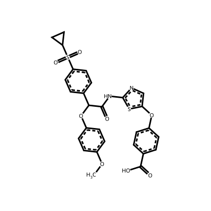 COc1ccc(OC(C(=O)Nc2ncc(Oc3ccc(C(=O)O)cc3)s2)c2ccc(S(=O)(=O)C3CC3)cc2)cc1